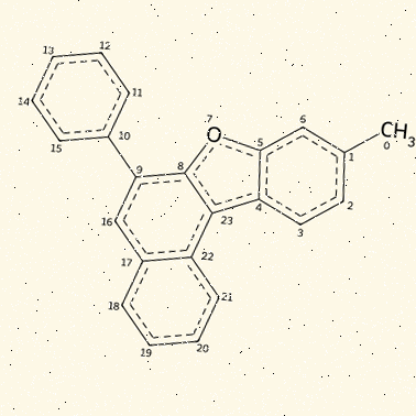 Cc1ccc2c(c1)oc1c(-c3ccccc3)cc3ccccc3c12